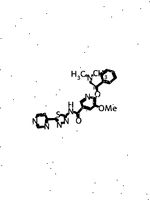 COc1cc(C(=O)Nc2nnc(-c3ccncn3)s2)cnc1O[C@@H](CN(C)C)c1ccccc1